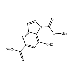 COC(=O)c1cc(C=O)c2c(ccn2C(=O)OC(C)(C)C)n1